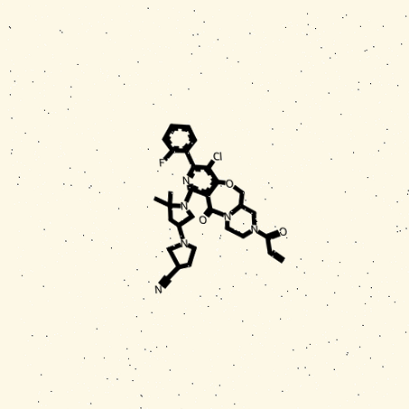 C=CC(=O)N1CCN2C(=O)c3c(N4CC(N5CCC(C#N)C5)CC4(C)C)nc(-c4ccccc4F)c(Cl)c3OCC2C1